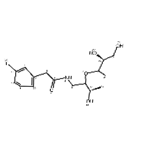 CC(OC(CNC(=O)Cc1cccc(F)c1)[C@@H](C)O)[C@@H](O)CO